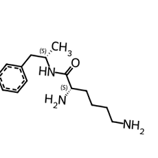 C[C@@H](Cc1ccccc1)NC(=O)[C@@H](N)CCCCN